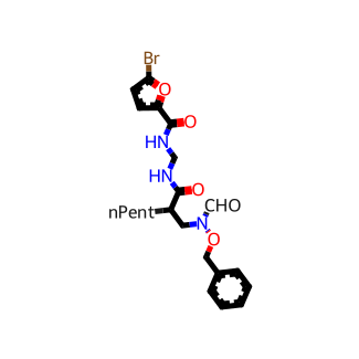 CCCCCC(CN(C=O)OCc1ccccc1)C(=O)NCNC(=O)c1ccc(Br)o1